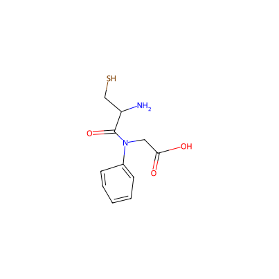 NC(CS)C(=O)N(CC(=O)O)c1ccccc1